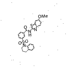 COc1ccc2nc(NC(=O)c3cccc(S(=O)(=O)N4CCCc5ccccc54)c3)sc2c1